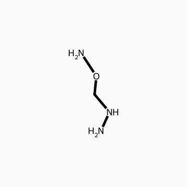 NNCON